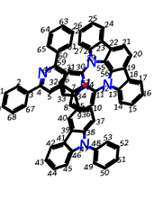 c1ccc(-c2cc(-c3cccc(-n4c5ccccc5c5ccc6c7ccccc7n(-c7cccc(-c8ccc9c(c8)c8ccccc8n9-c8ccccc8)n7)c6c54)c3)cc(-c3ccccc3)n2)cc1